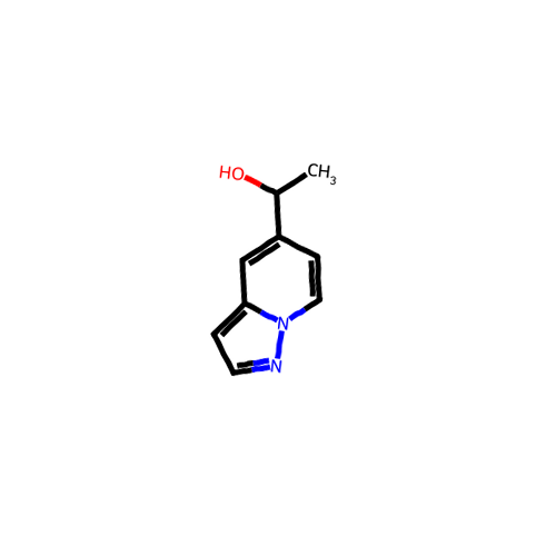 CC(O)c1ccn2nccc2c1